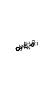 CN(CCCN(CC(N)=O)c1nc2ccccc2s1)Cc1ccc(Cl)c(Cl)c1